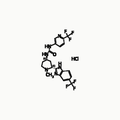 CN1CC[C@@H](NC(=O)Nc2ccc(C(F)(F)F)nc2)C[C@@H]1c1nc2cc(C(F)(F)F)ccc2[nH]1.Cl